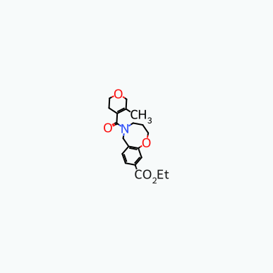 CCOC(=O)c1ccc2c(c1)OCCCN(C(=O)C1=C(C)COCC1)C2